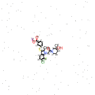 Cc1c(Sc2cccc(C(=O)OI)c2)c2ccc(Cl)c(F)c2n1CC(=O)N1CCCC(O)(C(F)(F)F)C1